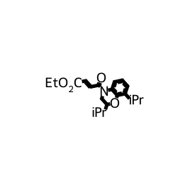 CCOC(=O)/C=C/C(=O)N1CC(C(C)C)Oc2c(C(C)C)cccc21